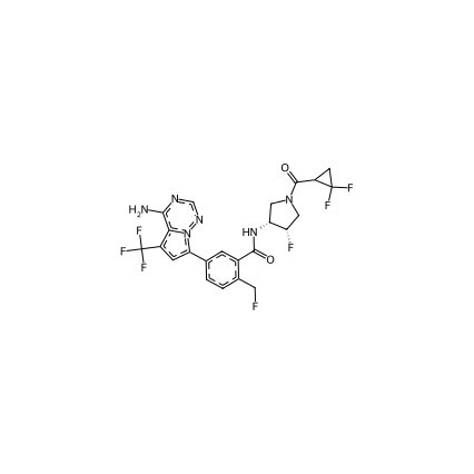 Nc1ncnn2c(-c3ccc(CF)c(C(=O)N[C@@H]4CN(C(=O)C5CC5(F)F)C[C@@H]4F)c3)cc(C(F)(F)F)c12